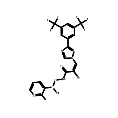 O=C(NOB(O)c1cccnc1F)/C(Br)=C\n1cnc(-c2cc(C(F)(F)F)cc(C(F)(F)F)c2)n1